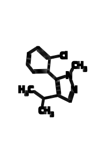 CC(C)c1cnn(C)c1-c1ccccc1Cl